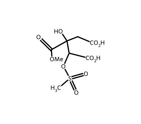 COC(=O)C(O)(CC(=O)O)C(OS(C)(=O)=O)C(=O)O